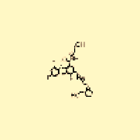 O=C(NOCCO)c1cc(/C=N/OCCN2CCC[C@H]2CO)c(F)c(F)c1Nc1ccc(I)cc1F